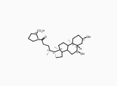 C[C@H](CCC(=O)N1CCC[C@H]1C(=O)O)[C@H]1CCC2C3C[C@H](O)[C@H]4C[C@H](O)CC[C@]4(C)C3CC[C@@]21C